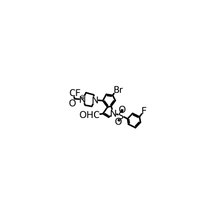 O=Cc1cn(S(=O)(=O)c2cccc(F)c2)c2cc(Br)cc(N3CCN(C(=O)C(F)(F)F)CC3)c12